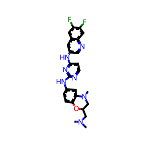 CN(C)CC1CN(C)c2cc(Nc3nccc(Nc4cnc5cc(F)c(F)cc5c4)n3)ccc2O1